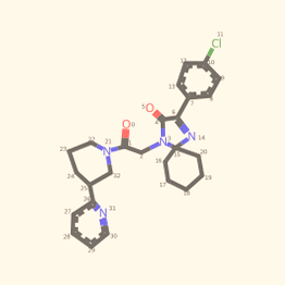 O=C(CN1C(=O)C(c2ccc(Cl)cc2)=NC12CCCCC2)N1CCCC(c2ccccn2)C1